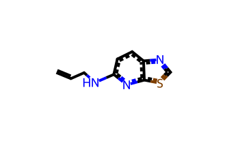 C=CCNc1ccc2ncsc2n1